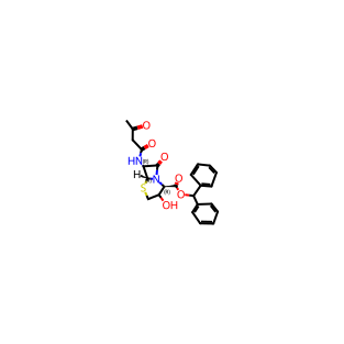 CC(=O)CC(=O)N[C@@H]1C(=O)N2[C@@H]1SCC(O)[C@@H]2C(=O)OC(c1ccccc1)c1ccccc1